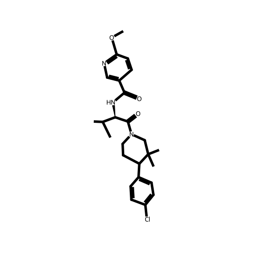 COc1ccc(C(=O)N[C@@H](C(=O)N2CCC(c3ccc(Cl)cc3)C(C)(C)C2)C(C)C)cn1